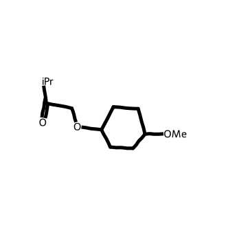 COC1CCC(OCC(=O)C(C)C)CC1